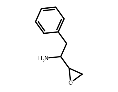 NC(Cc1ccccc1)C1CO1